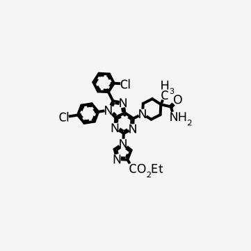 CCOC(=O)c1cn(-c2nc(N3CCC(C)(C(N)=O)CC3)c3nc(-c4ccccc4Cl)n(-c4ccc(Cl)cc4)c3n2)cn1